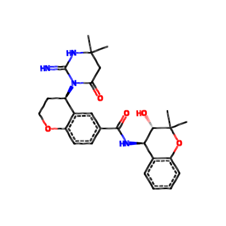 CC1(C)CC(=O)N([C@@H]2CCOc3ccc(C(=O)N[C@@H]4c5ccccc5OC(C)(C)[C@H]4O)cc32)C(=N)N1